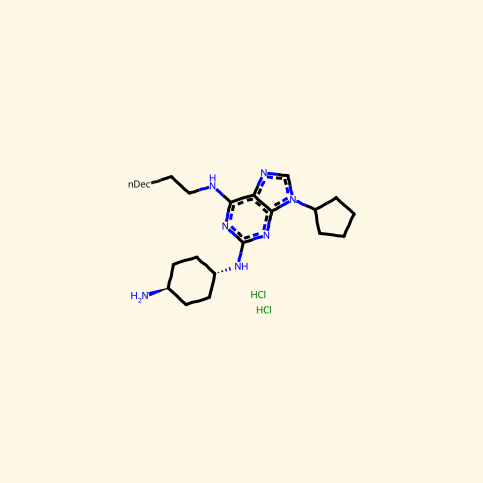 CCCCCCCCCCCCNc1nc(N[C@H]2CC[C@H](N)CC2)nc2c1ncn2C1CCCC1.Cl.Cl